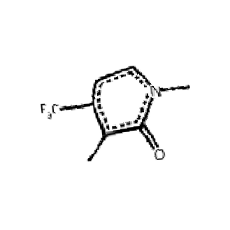 Cc1c(C(F)(F)F)ccn(C)c1=O